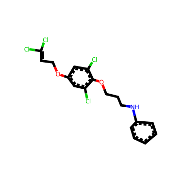 ClC(Cl)=CCOc1cc(Cl)c(OCCCNc2ccccc2)c(Cl)c1